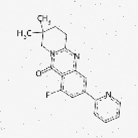 CC1(C)CCc2nc3cc(-c4ccccn4)cc(F)c3c(=O)n2C1